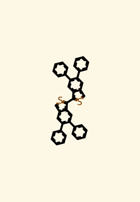 c1ccc(-c2cc3csc(-c4scc5cc(-c6ccccc6)c(-c6ccccc6)cc45)c3cc2-c2ccccc2)cc1